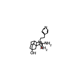 NC(=O)C12CC3CC(CC(O)(C3)C1)C2N(CCc1ccncc1)C(N)=S